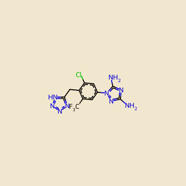 Nc1nc(N)n(-c2cc(Cl)c(Cc3nnn[nH]3)c(C(F)(F)F)c2)n1